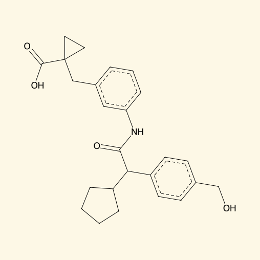 O=C(Nc1cccc(CC2(C(=O)O)CC2)c1)C(c1ccc(CO)cc1)C1CCCC1